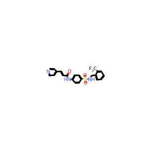 O=C(/C=C/c1ccncc1)Nc1ccc(S(=O)(=O)NCc2ccccc2C(F)(F)F)cc1